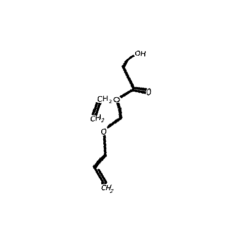 C=C.C=CCOCOC(=O)CO